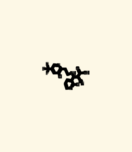 N#CC(C(=O)O)=C(NCCc1ncc(C(F)(F)F)cc1Cl)c1cccnc1Cl